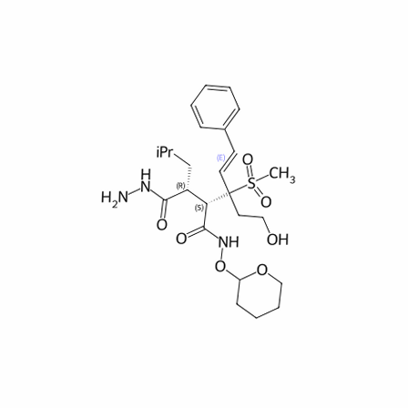 CC(C)C[C@@H](C(=O)NN)[C@@H](C(=O)NOC1CCCCO1)C(/C=C/c1ccccc1)(CCO)S(C)(=O)=O